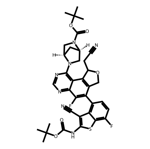 CC(C)(C)OC(=O)Nc1sc2c(F)ccc(-c3c4c(c5c(N6C[C@H]7C[C@@H]6CN7C(=O)OC(C)(C)C)ncnc5c3F)C(CC#N)OC4)c2c1C#N